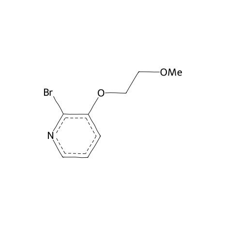 COCCOc1cccnc1Br